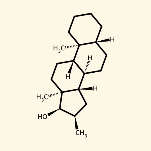 C[C@@H]1C[C@H]2[C@@H]3CC[C@H]4CCCC[C@]4(C)[C@H]3CC[C@]2(C)[C@@H]1O